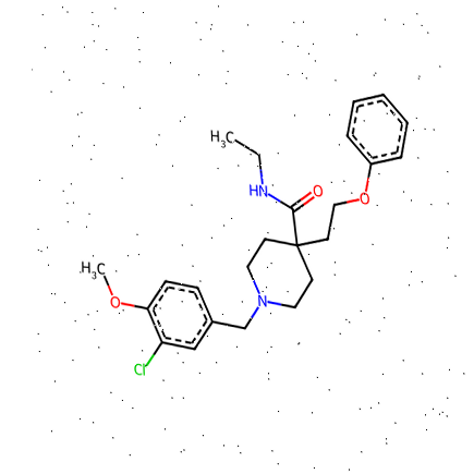 CCNC(=O)C1(CCOc2ccccc2)CCN(Cc2ccc(OC)c(Cl)c2)CC1